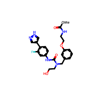 COC(=O)NCCOc1cccc(CN(CCO)C(=O)Nc2ccc(-c3cn[nH]c3)c(F)c2)c1